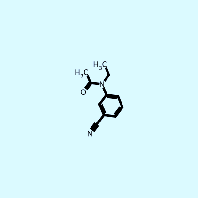 CCN(C(C)=O)c1cccc(C#N)c1